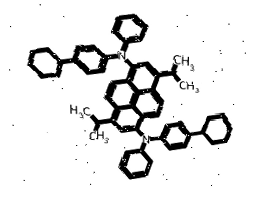 CC(C)c1cc(N(c2ccccc2)c2ccc(C3CCCCC3)cc2)c2ccc3c(C(C)C)cc(N(c4ccc(C5CCCCC5)cc4)C4C=CC=CC4)c4ccc1c2c34